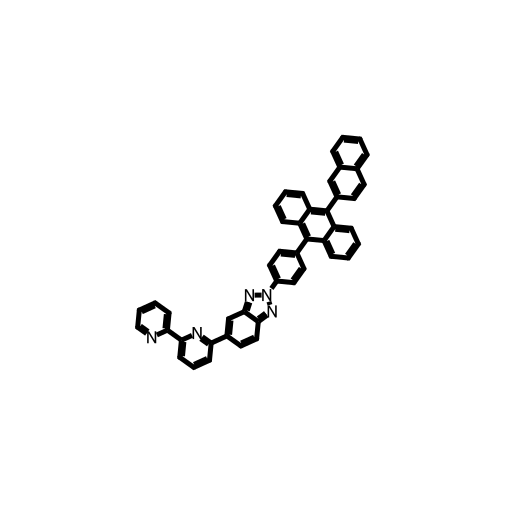 c1ccc(-c2cccc(-c3ccc4nn(-c5ccc(-c6c7ccccc7c(-c7ccc8ccccc8c7)c7ccccc67)cc5)nc4c3)n2)nc1